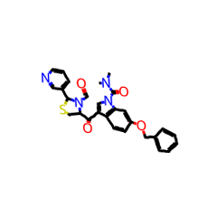 CN(C)C(=O)n1cc(C(=O)C2CSC(c3cccnc3)N2C=O)c2ccc(OCc3ccccc3)cc21